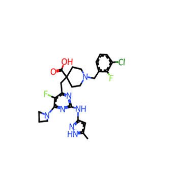 Cc1cc(Nc2nc(CC3(C(=O)O)CCN(Cc4cccc(Cl)c4F)CC3)c(F)c(N3CCC3)n2)n[nH]1